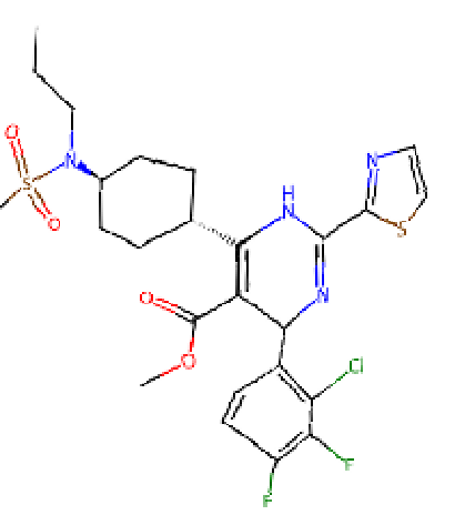 CCCN([C@H]1CC[C@H](C2=C(C(=O)OC)C(c3ccc(F)c(F)c3Cl)N=C(c3nccs3)N2)CC1)S(C)(=O)=O